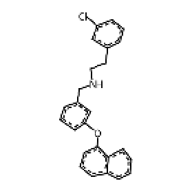 Clc1cccc(CCNCc2cccc(Oc3cccc4ccccc34)c2)c1